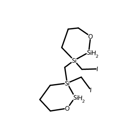 IC[Si]1(C[Si]2(CI)CCCO[SiH2]2)CCCO[SiH2]1